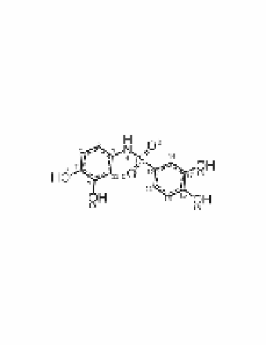 O=S(=O)(Nc1ccc(O)c(O)c1)c1ccc(O)c(O)c1